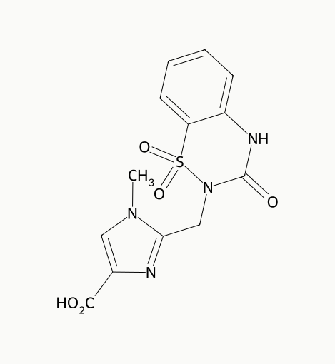 Cn1cc(C(=O)O)nc1CN1C(=O)Nc2ccccc2S1(=O)=O